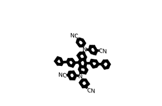 N#Cc1ccc(N(c2ccc(C#N)cc2)c2ccc3c(-c4ccc(-c5ccccc5)cc4)c4cc(N(c5ccc(C#N)cc5)c5ccc(C#N)cc5)ccc4c(-c4ccc(-c5ccccc5)cc4)c3c2)cc1